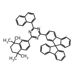 CC1(C)CCC(C)(C)c2cc(-c3nc(-c4ccc5c(c4)C4(c6ccccc6-c6ccccc64)c4ccccc4-5)nc(-c4cccc5ccccc45)n3)ccc21